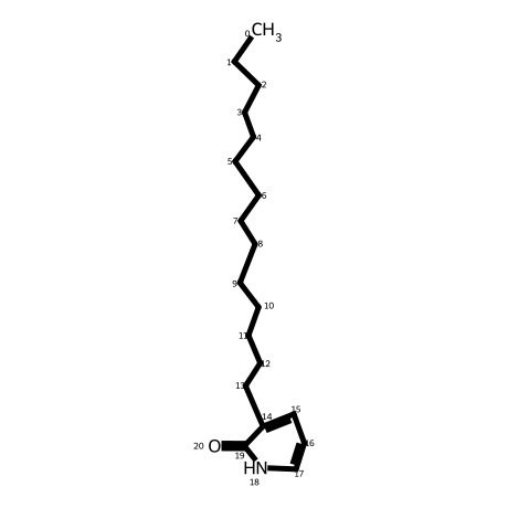 CCCCCCCCCCCCCCc1ccc[nH]c1=O